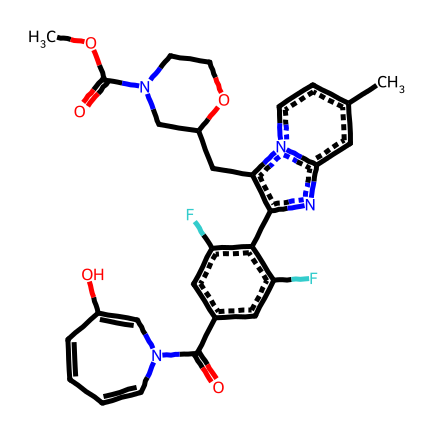 COC(=O)N1CCOC(Cc2c(-c3c(F)cc(C(=O)N4C=CC=CC(O)=C4)cc3F)nc3cc(C)ccn23)C1